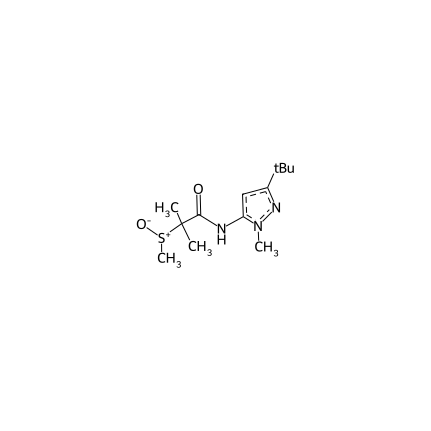 Cn1nc(C(C)(C)C)cc1NC(=O)C(C)(C)[S+](C)[O-]